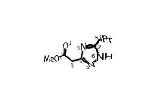 COC(=O)Cc1n[nH]c(C(C)C)n1